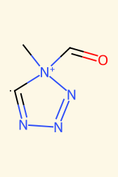 C[N+]1(C=O)[C]=NN=N1